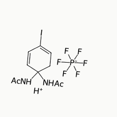 CC(=O)NC1(NC(C)=O)C=CC(I)=CC1.F[P-](F)(F)(F)(F)F.[H+]